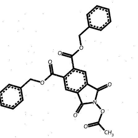 CC(=O)ON1C(=O)c2cc(C(=O)OCc3ccccc3)c(C(=O)OCc3ccccc3)cc2C1=O